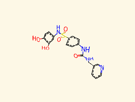 O=C(NCc1cccnc1)Nc1ccc(S(=O)(=O)Nc2ccc(O)c(O)c2)cc1